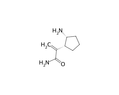 C=C(C(N)=O)[C@H]1CCC[C@H]1N